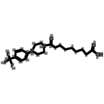 O=C(O)CCCCCCCC(=O)N1CCN(c2ccc(C(F)(F)F)cc2)CC1